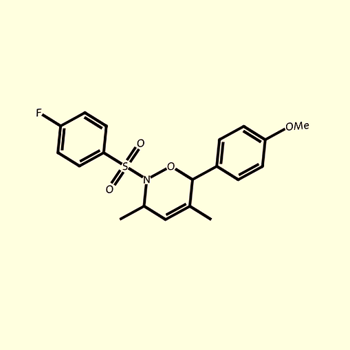 COc1ccc(C2ON(S(=O)(=O)c3ccc(F)cc3)C(C)C=C2C)cc1